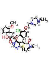 COc1ccccc1C[C@@H](Oc1ncnc2sc(C(=O)N(C)C)c(-c3ccc(OCCN4CCN(C)CC4)c(Cl)c3C)c12)C(=O)O